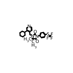 CC1(C)C(=O)N(c2ccc(SC(F)(F)F)cc2)C(=O)N1Cc1ccncc1C1CCCCC1